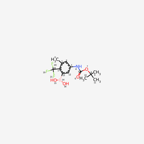 Cc1cc(NC(=O)OC(C)(C)C)cc(B(O)O)c1C(F)(F)F